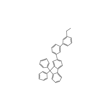 CCc1cccc(-c2cccc(-c3ccc4c(c3)C(c3ccccc3)(c3ccccc3)c3ccccc3-4)c2)c1